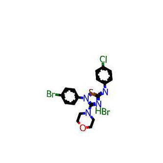 Br.Clc1ccc(N=c2nc(N3CCOCC3)n(-c3ccc(Br)cc3)s2)cc1